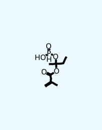 C=C(C)C(=O)OC(C)(CC)O[PH](=O)O